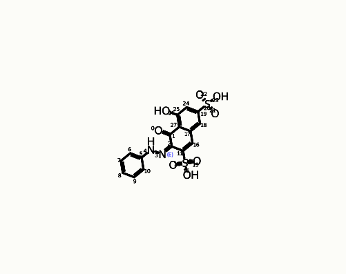 O=C1/C(=N\Nc2ccccc2)C(S(=O)(=O)O)=Cc2cc(S(=O)(=O)O)cc(O)c21